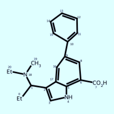 CCC(c1c[nH]c2c(C(=O)O)cc(-c3ccccc3)cc12)N(C)CC